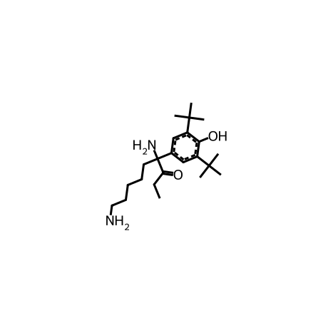 CCC(=O)C(N)(CCCCCN)c1cc(C(C)(C)C)c(O)c(C(C)(C)C)c1